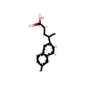 Cc1ccc2cc(C(C)CCC(=O)O)ccc2c1